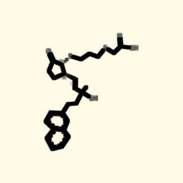 CC(O)(/C=C/[C@H]1CCC(=O)[C@@H]1SCCCSCC(=O)O)CCc1ccc2ccccc2c1